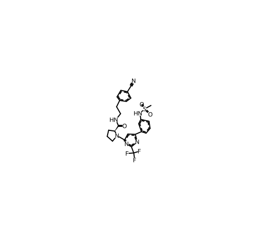 CS(=O)(=O)Nc1cccc(-c2cc(N3CCC[C@H]3C(=O)NCCc3ccc(C#N)cc3)nc(C(F)(F)F)n2)c1